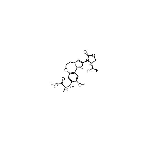 COc1cc2c(cc1N[C@@H](C)C(N)=O)OCCn1cc(N3C(=O)OC[C@H]3C(F)F)nc1-2